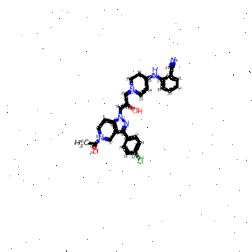 CC(=O)N1CCc2c(c(-c3ccc(Cl)cc3)nn2CC(O)CN2CCC(Nc3ccccc3C#N)CC2)C1